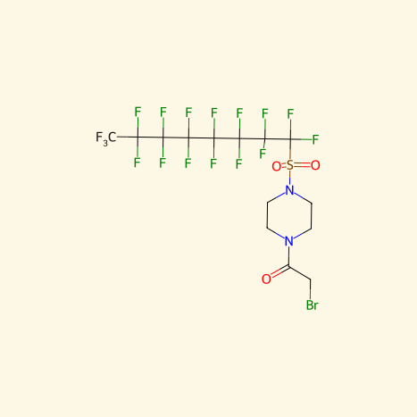 O=C(CBr)N1CCN(S(=O)(=O)C(F)(F)C(F)(F)C(F)(F)C(F)(F)C(F)(F)C(F)(F)C(F)(F)C(F)(F)F)CC1